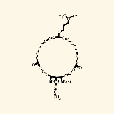 C=C=C=C=C1C(CCCCC)CCOC(=O)CCCCCCCC(OCCCN(C)C(C)C)CCCCCCCC(=O)OCCC1CCCCC